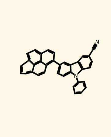 N#Cc1ccc2c(c1)c1cc(-c3ccc4ccc5cccc6ccc3c4c56)ccc1n2-c1ccccc1